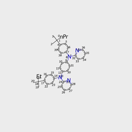 CCCC(C)(C)c1ccc(N(c2ccc(N(c3ccc(C(C)(C)CC)cc3)c3ccccn3)cc2)c2ccccn2)cc1